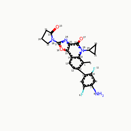 Cc1c(-c2cc(F)c(N)cc2F)ccc2c3oc(N4CCCC4=O)nc3c(=O)n(C3CC3)c12